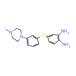 CN1CCN(c2cccc(Sc3ccc(N)c(N)c3)c2)CC1